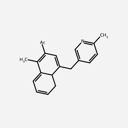 CC(=O)C1=C(C)C2=CC=CCC2C(Cc2ccc(C)nc2)=C1